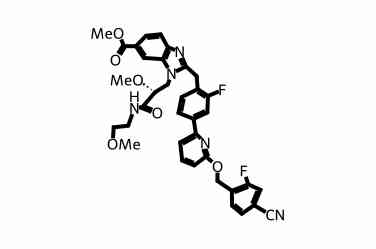 COCCNC(=O)[C@@H](Cn1c(Cc2ccc(-c3cccc(OCc4ccc(C#N)cc4F)n3)cc2F)nc2ccc(C(=O)OC)cc21)OC